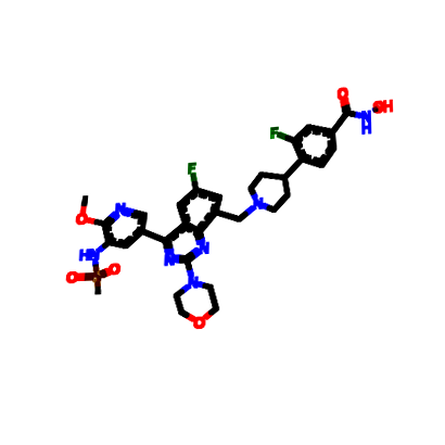 COc1ncc(-c2nc(N3CCOCC3)nc3c(CN4CCC(c5ccc(C(=O)NO)cc5F)CC4)cc(F)cc23)cc1NS(C)(=O)=O